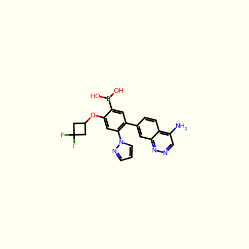 Nc1cnnc2cc(-c3cc(B(O)O)c(OC4CC(F)(F)C4)cc3-n3cccn3)ccc12